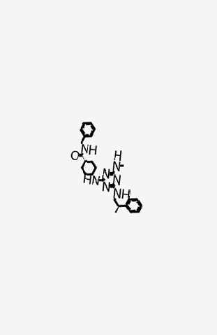 CNc1nc(NC[C@H](C)c2ccccc2)nc(N[C@H]2CC[C@@H](C(=O)NCc3ccccc3)CC2)n1